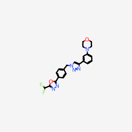 FC(F)c1nnc(-c2ccc(Cn3cc(-c4cccc(N5CCOCC5)c4)nn3)cc2)o1